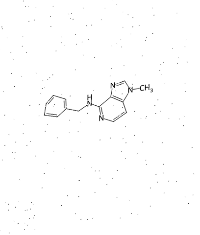 Cn1cnc2c(NCc3ccccc3)nccc21